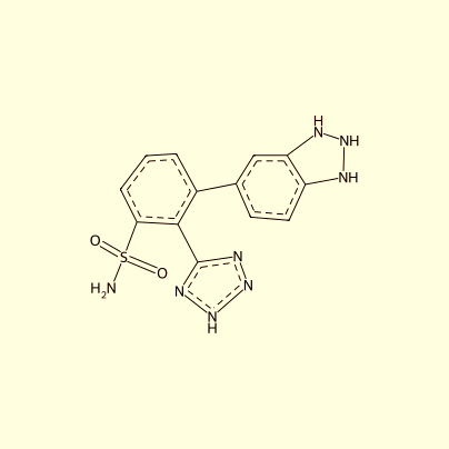 NS(=O)(=O)c1cccc(-c2ccc3c(c2)NNN3)c1-c1nn[nH]n1